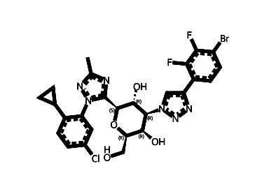 Cc1nc([C@@H]2O[C@H](CO)[C@H](O)[C@H](n3cc(-c4ccc(Br)c(F)c4F)nn3)[C@H]2O)n(-c2cc(Cl)ccc2C2CC2)n1